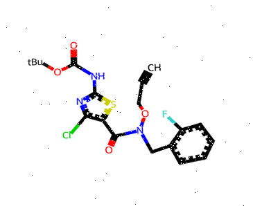 C#CCON(Cc1ccccc1F)C(=O)c1sc(NC(=O)OC(C)(C)C)nc1Cl